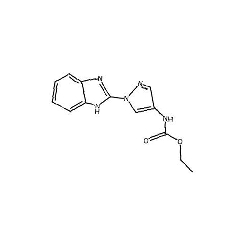 CCOC(=O)Nc1cnn(-c2nc3ccccc3[nH]2)c1